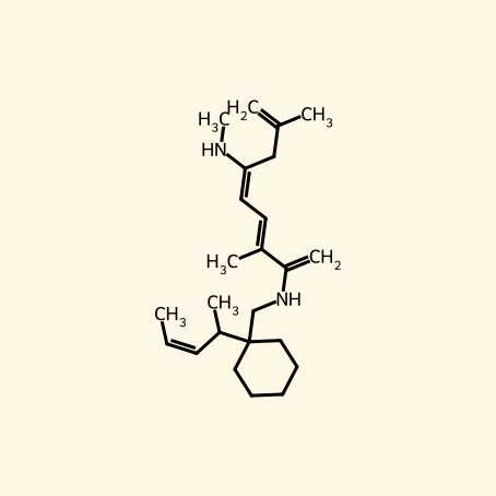 C=C(C)C/C(=C\C=C(/C)C(=C)NCC1(C(C)/C=C\C)CCCCC1)NC